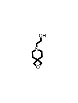 OCCN1CCC2(CC1)COC2